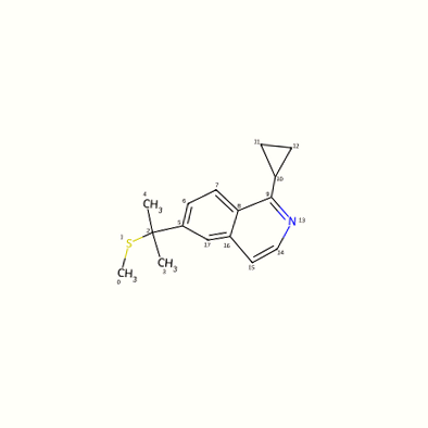 CSC(C)(C)c1ccc2c(C3CC3)nccc2c1